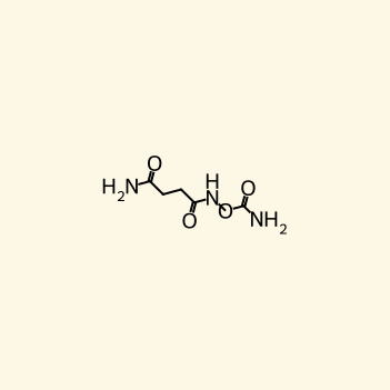 NC(=O)CCC(=O)NOC(N)=O